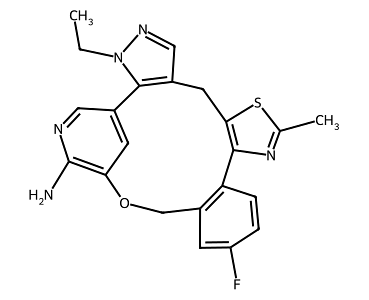 CCn1ncc2c1-c1cnc(N)c(c1)OCc1cc(F)ccc1-c1nc(C)sc1C2